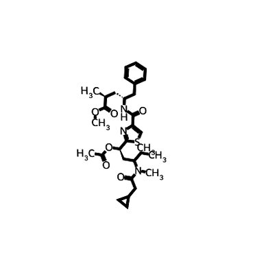 COC(=O)[C@@H](C)C[C@H](Cc1ccccc1)NC(=O)c1csc([C@@H](CC(C(C)C)N(C)C(=O)CC2CC2)OC(C)=O)n1